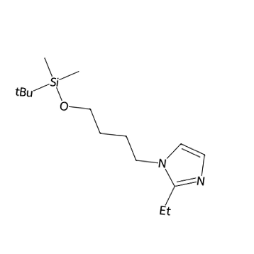 CCc1nccn1CCCCO[Si](C)(C)C(C)(C)C